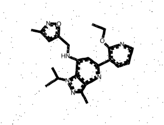 CCOc1ncccc1-c1cc(NCc2cc(C)no2)c2c(n1)c(C)nn2C(C)C